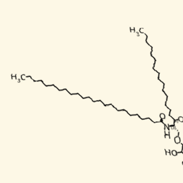 CCCCCCCCCCCCCCCCCCCCCCCC(=O)N[C@@H](COC1OC2OC2C(O)C1O)[C@H](O)CCCCCCCCCCCCCCC